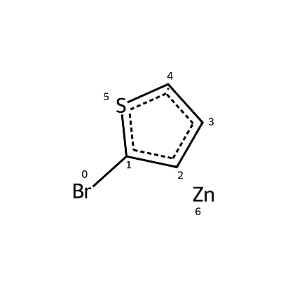 Brc1cc[c]s1.[Zn]